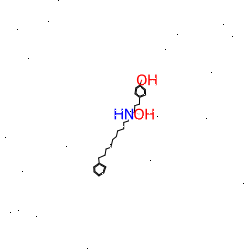 Oc1ccc(CC[C@H](O)NCCCCCCCCCCc2ccccc2)cc1